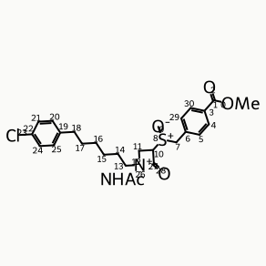 COC(=O)c1ccc(C[S+]([O-])C2C[N+](CCCCCCc3ccc(Cl)cc3)(NC(C)=O)C2=O)cc1